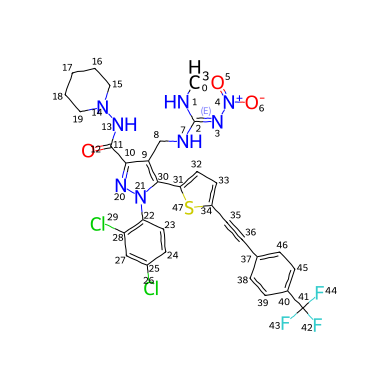 CN/C(=N\[N+](=O)[O-])NCc1c(C(=O)NN2CCCCC2)nn(-c2ccc(Cl)cc2Cl)c1-c1ccc(C#Cc2ccc(C(F)(F)F)cc2)s1